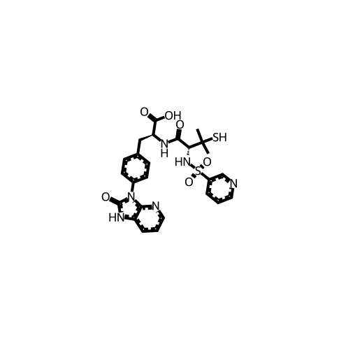 CC(C)(S)[C@H](NS(=O)(=O)c1cccnc1)C(=O)N[C@@H](Cc1ccc(-n2c(=O)[nH]c3cccnc32)cc1)C(=O)O